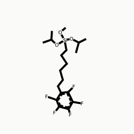 CO[Si](CCCCCCc1c(F)c(F)c(F)c(F)c1F)(OC(C)C)OC(C)C